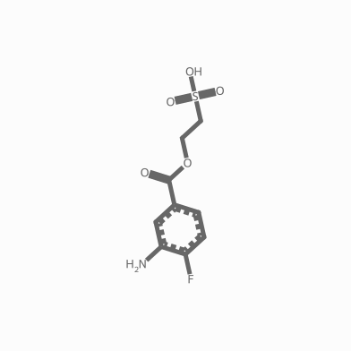 Nc1cc(C(=O)OCCS(=O)(=O)O)ccc1F